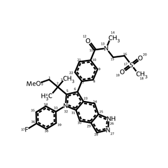 COCC(C)(C)c1c(-c2ccc(C(=O)N(C)CCS(C)(=O)=O)cc2)c2cc3[nH]ncc3cc2n1-c1ccc(F)cc1